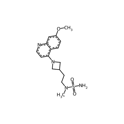 COc1ccc2c(N3CC(CCN(C)S(N)(=O)=O)C3)ccnc2c1